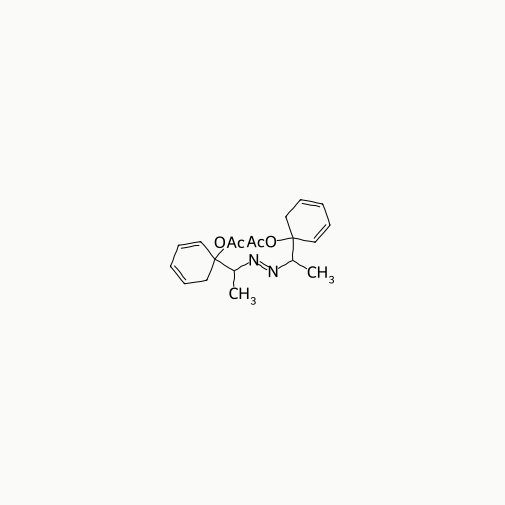 CC(=O)OC1(C(C)N=NC(C)C2(OC(C)=O)C=CC=CC2)C=CC=CC1